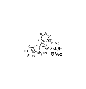 C=CC1C(C(O)OC)c2ccc3c4c(oc3c2-c2cccc[n+]21)CCCC4